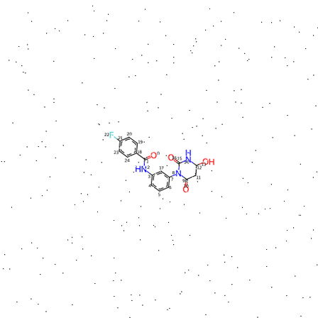 O=C(Nc1cccc(N2C(=O)CC(O)NC2=O)c1)c1ccc(F)cc1